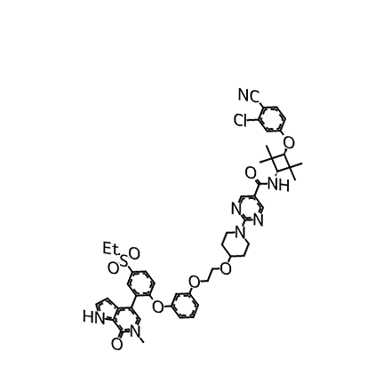 CCS(=O)(=O)c1ccc(Oc2cccc(OCCOC3CCN(c4ncc(C(=O)N[C@H]5C(C)(C)[C@H](Oc6ccc(C#N)c(Cl)c6)C5(C)C)cn4)CC3)c2)c(-c2cn(C)c(=O)c3[nH]ccc23)c1